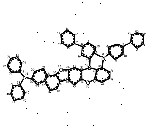 c1ccc(-c2ccc(N3c4ccc(-c5ccccc5)cc4B4c5cc6oc7c8ccc(N(c9ccccc9)c9ccccc9)cc8ccc7c6cc5Oc5cccc3c54)cc2)cc1